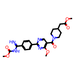 COC(=O)CC1CCN(C(=O)c2cnc(-c3ccc(C(=N)NC(=O)OC)cc3)nc2OC)CC1